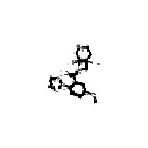 COc1ccc(-n2nccn2)c(C(=O)N2C[C@H]3CCNC[C@H]32)c1